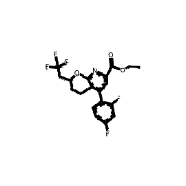 CCOC(=O)c1cc(-c2ccc(F)cc2F)c2c(n1)OC(CC(F)(F)F)CC2